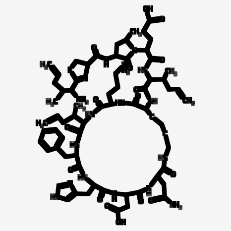 C=CCC(C)C(N)C1=NC(C(=O)NC2CC(C)N(C(CCC(=O)O)C(=O)NC(C(=O)NC3CCCCNC(=O)C(CC(N)=O)NC(=O)C(CC(=O)O)NC(=O)C(Cc4c[nH]cn4)NC(=O)C(Cc4ccccc4)NC(=O)C(C(C)CC=C)NC(=O)C(CCCN)NC3=O)C(C)CC=C)C2=O)CS1